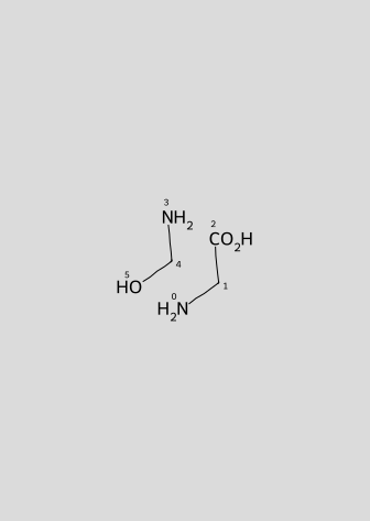 NCC(=O)O.NCO